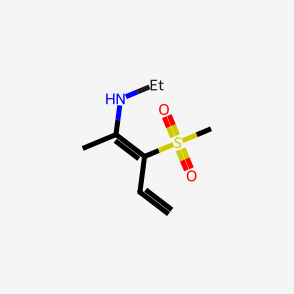 C=C/C(=C(\C)NCC)S(C)(=O)=O